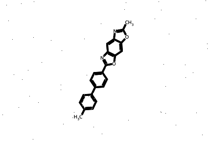 Cc1ccc(-c2ccc(-c3nc4cc5nc(C)oc5cc4o3)cc2)cc1